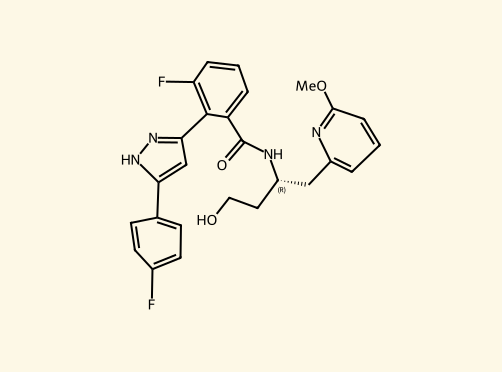 COc1cccc(C[C@H](CCO)NC(=O)c2cccc(F)c2-c2cc(-c3ccc(F)cc3)[nH]n2)n1